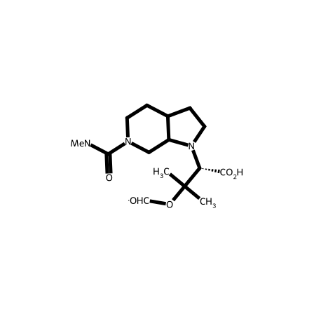 CNC(=O)N1CCC2CCN([C@H](C(=O)O)C(C)(C)O[C]=O)C2C1